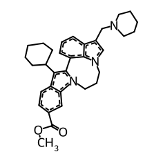 COC(=O)c1ccc2c(C3CCCCC3)c3n(c2c1)CCCn1cc(CN2CCCCC2)c2cccc-3c21